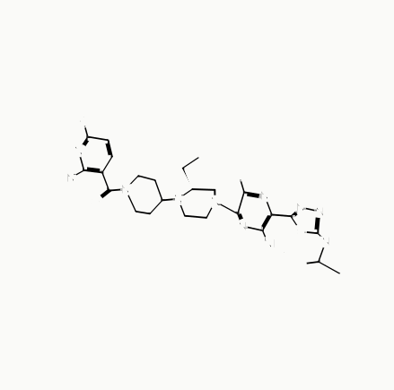 CC[C@H]1CN(c2nc(N)c(-c3nnc(NC(C)C)o3)nc2Cl)CCN1C1CCN(C(=O)c2ccc(Cl)nc2N)CC1